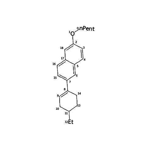 CCCCCOc1ccc2cc(C3=CCC(CC)CC3)ccc2c1